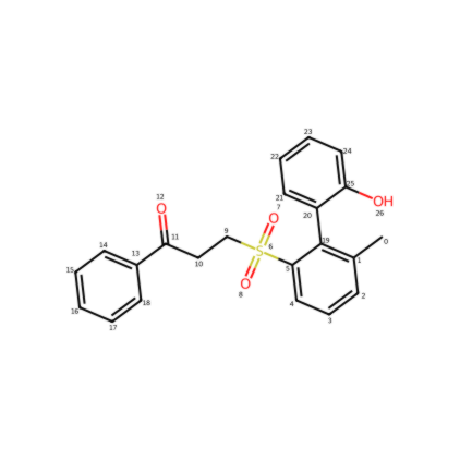 Cc1cccc(S(=O)(=O)CCC(=O)c2ccccc2)c1-c1ccccc1O